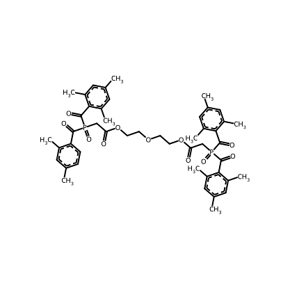 Cc1ccc(C(=O)P(=O)(CC(=O)OCCOCCOC(=O)CP(=O)(C(=O)c2c(C)cc(C)cc2C)C(=O)c2c(C)cc(C)cc2C)C(=O)c2c(C)cc(C)cc2C)c(C)c1